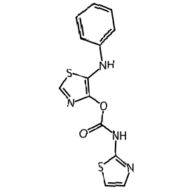 O=C(Nc1nccs1)Oc1ncsc1Nc1ccccc1